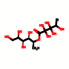 CCC(O)C(O)(O)C(O)(O)C(=O)O[C@@H](C(=O)O)[C@@H](O)[C@H](O)[C@H](O)CO